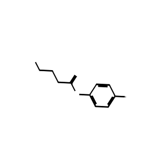 O=C(CCCBr)Sc1ccc(O)cc1